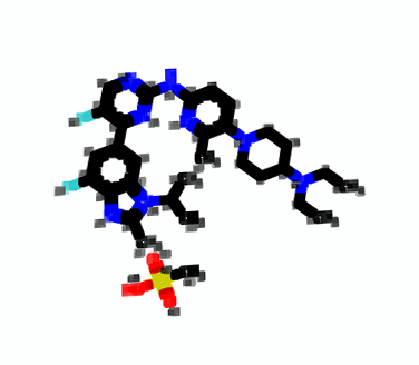 CCN(CC)C1CCN(c2ccc(Nc3ncc(F)c(-c4cc(F)c5nc(C)n(C(C)C)c5c4)n3)nc2C)CC1.CS(=O)(=O)O